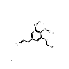 C=CCc1cc(OC)c(OC)c(OCBr)c1